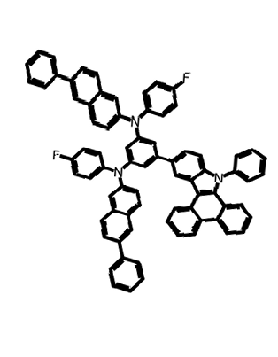 Fc1ccc(N(c2cc(-c3ccc4c(c3)c3c5ccccc5c5ccccc5c3n4-c3ccccc3)cc(N(c3ccc(F)cc3)c3ccc4cc(-c5ccccc5)ccc4c3)c2)c2ccc3cc(-c4ccccc4)ccc3c2)cc1